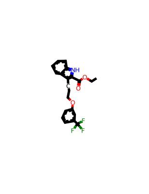 CCOC(=O)c1[nH]c2ccccc2c1CCCOc1cccc(C(F)(F)F)c1